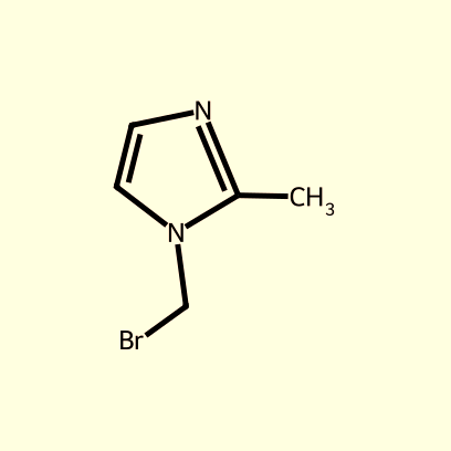 Cc1nccn1CBr